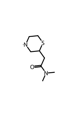 CN(C)C(=O)CC1C[N]CCS1